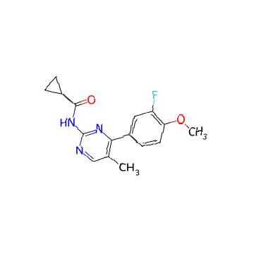 COc1ccc(-c2nc(NC(=O)C3CC3)ncc2C)cc1F